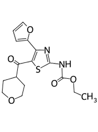 CCOC(=O)Nc1nc(-c2ccco2)c(C(=O)C2CCOCC2)s1